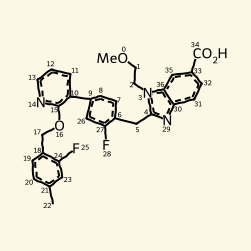 COCCn1c(Cc2ccc(-c3cccnc3OCc3ccc(C)cc3F)cc2F)nc2ccc(C(=O)O)cc21